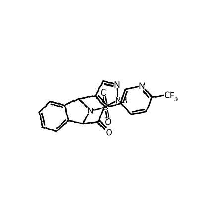 O=C1c2[nH]ncc2C2c3ccccc3C1N2S(=O)(=O)c1ccc(C(F)(F)F)nc1